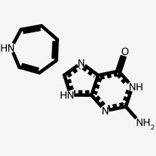 C1=CC=CNC=C1.Nc1nc2[nH]cnc2c(=O)[nH]1